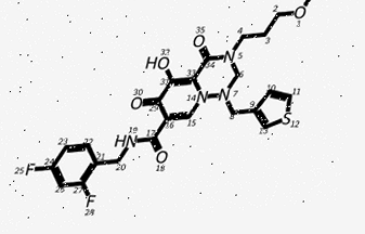 CCCOCCCN1CN(Cc2ccsc2)n2cc(C(=O)NCc3ccc(F)cc3F)c(=O)c(O)c2C1=O